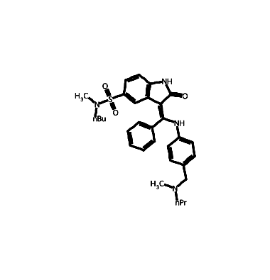 CCCCN(C)S(=O)(=O)c1ccc2c(c1)/C(=C(/Nc1ccc(CN(C)CCC)cc1)c1ccccc1)C(=O)N2